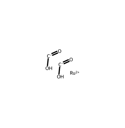 O=[C-]O.O=[C-]O.[Ru+2]